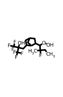 CCC(C)(F)C(OO)C1CC2CC(CC(O)(C(F)(F)F)C(F)(F)F)C1C2